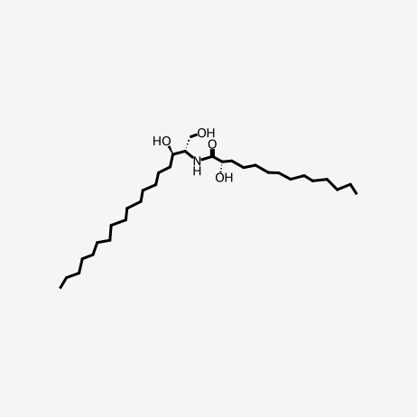 CCCCCCCCCCCCCCC[C@@H](O)[C@H](CO)NC(=O)[C@@H](O)CCCCCCCCCCCC